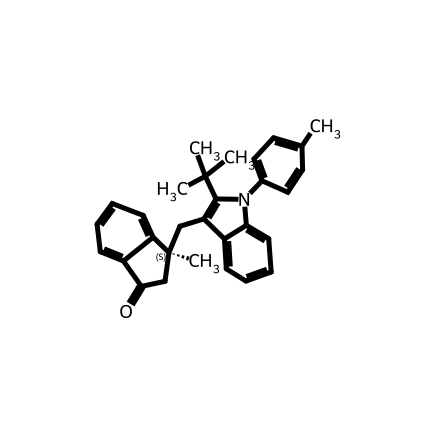 Cc1ccc(-n2c(C(C)(C)C)c(C[C@@]3(C)CC(=O)c4ccccc43)c3ccccc32)cc1